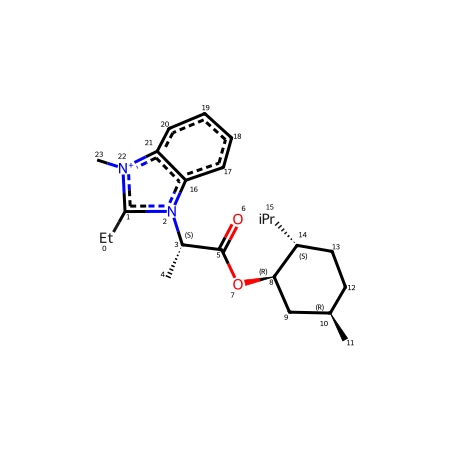 CCc1n([C@@H](C)C(=O)O[C@@H]2C[C@H](C)CC[C@H]2C(C)C)c2ccccc2[n+]1C